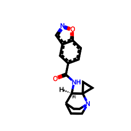 O=C(N[C@@H]1C2CCN(CC2)C12CC2)c1ccc2oncc2c1